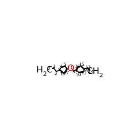 C=CCc1ccc(OCc2ccc(C=C)cc2)cc1